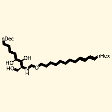 CCCCCC/C=C/C=C/CCCCCCCCOCN[C@@H](CO)[C@H](O)[C@H](O)CCCCCCCCCCCCCC